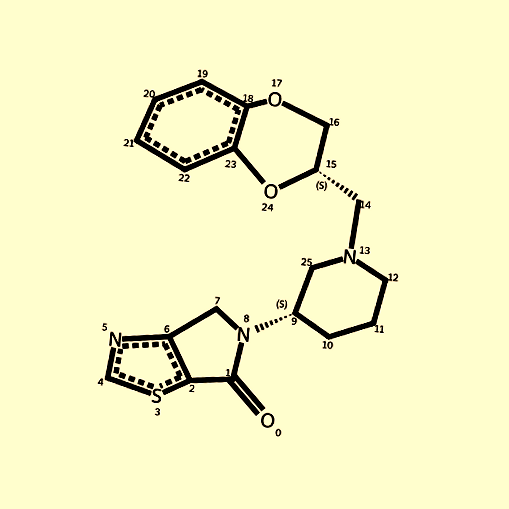 O=C1c2scnc2CN1[C@H]1CCCN(C[C@H]2COc3ccccc3O2)C1